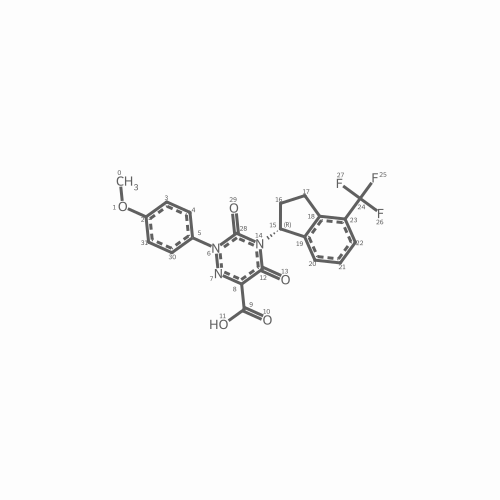 COc1ccc(-n2nc(C(=O)O)c(=O)n([C@@H]3CCc4c3cccc4C(F)(F)F)c2=O)cc1